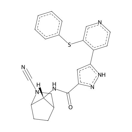 N#CN1CC2CCC1[C@@H]2NC(=O)c1cc(-c2ccncc2Sc2ccccc2)[nH]n1